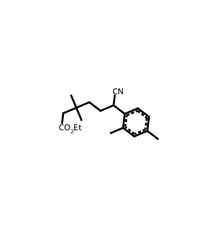 CCOC(=O)CC(C)(C)CCC(C#N)c1ccc(C)cc1C